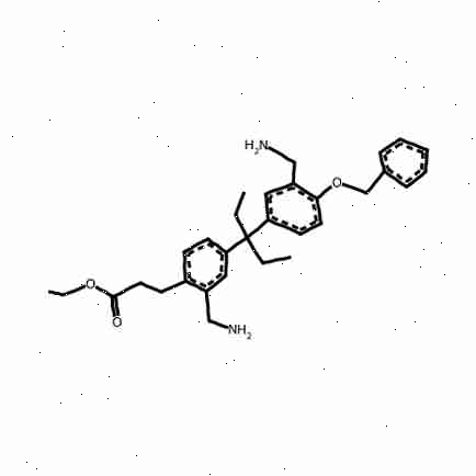 CCOC(=O)CCc1ccc(C(CC)(CC)c2ccc(OCc3ccccc3)c(CN)c2)cc1CN